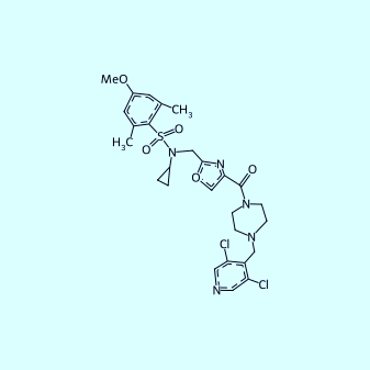 COc1cc(C)c(S(=O)(=O)N(Cc2nc(C(=O)N3CCN(Cc4c(Cl)cncc4Cl)CC3)co2)C2CC2)c(C)c1